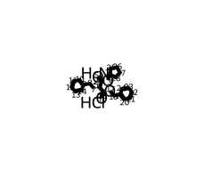 Cl.NC1(OC(=O)[C@@H](CCc2ccccc2)C(=O)OCc2ccccc2)CCCC1